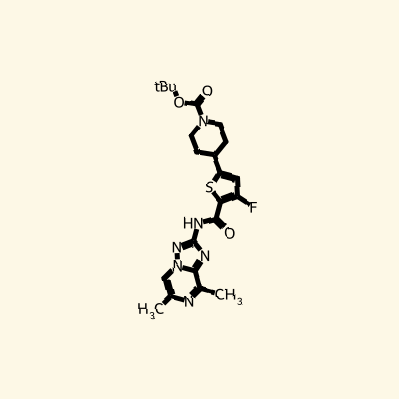 Cc1cn2nc(NC(=O)c3sc(C4CCN(C(=O)OC(C)(C)C)CC4)cc3F)nc2c(C)n1